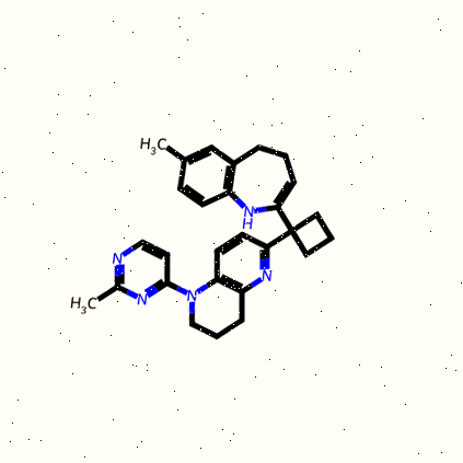 Cc1ccc2c(c1)CCC=C(C1(c3ccc4c(n3)CCCN4c3ccnc(C)n3)CCC1)N2